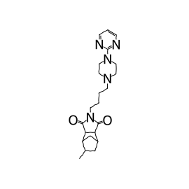 CC1CC2CC1C1C(=O)N(CCCCN3CCN(c4ncccn4)CC3)C(=O)C21